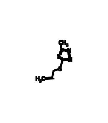 C=[C]CSc1nnc(C)s1